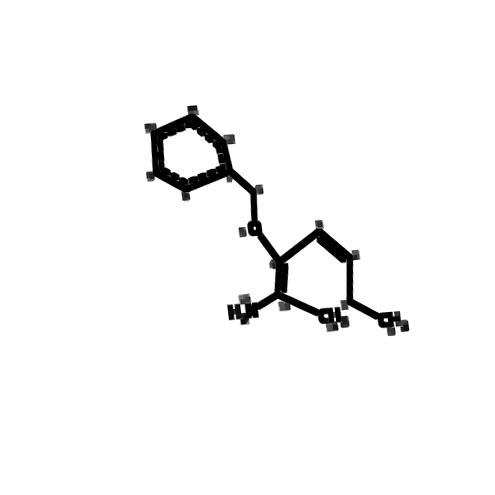 CC/C=C\C(OCc1ccccc1)=C(/C)N